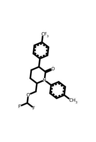 Cc1ccc(N2C(=O)C(c3ccc(C(F)(F)F)cc3)CCC2COC(F)F)cc1